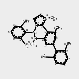 Cc1cc(-c2c(C(C)C)cccc2C(C)C)cc2c1-c1n(cc[n+]1C)B(c1c(C(C)C)cccc1C(C)C)N2C